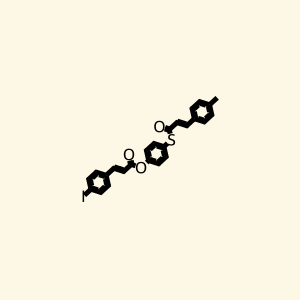 Cc1ccc(/C=C/C(=O)Sc2ccc(OC(=O)/C=C/c3ccc(I)cc3)cc2)cc1